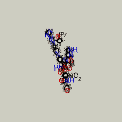 CC(C)Oc1ccccc1[C@@H]1CN(c2cnccn2)CCN1C1CC2(CCN(c3ccc(C(=O)NS(=O)(=O)c4cc5c(c([N+](=O)[O-])c4)N[C@H](C4CCOCC4)CO5)c(N4c5cc6cc[nH]c6nc5O[C@H]5COCC[C@@H]54)c3)CC2)C1